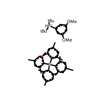 COc1cc(OC)cc([PH+](C(C)(C)C)C(C)(C)C)c1.Cc1cc(C)c([B-](c2c(C)cc(C)cc2C)(c2c(C)cc(C)cc2C)c2c(C)cc(C)cc2C)c(C)c1